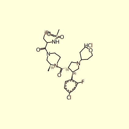 CC(C)CC(NS(C)(=O)=O)C(=O)N1CCN(C(=O)[C@@H]2CN(C3CCOCC3)C[C@H]2c2ccc(Cl)cc2F)[C@@H](C)C1.Cl